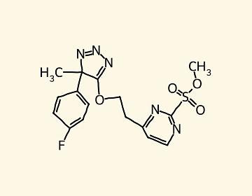 COS(=O)(=O)c1nccc(CCOC2=NN=NC2(C)c2ccc(F)cc2)n1